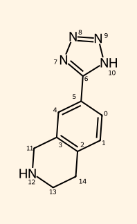 c1cc2c(cc1-c1nnn[nH]1)CNCC2